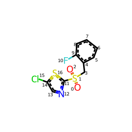 O=S(=O)(Cc1ccccc1F)c1ncc(Cl)s1